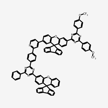 FC(F)(F)Oc1ccc(-c2nc(-c3ccc(OC(F)(F)F)cc3)nc(-c3ccc4c(c3)Oc3ccc(-c5ccnc(-c6ccc(-c7nc(-c8ccccc8)nc(-c8ccc9c(c8)Oc8ccccc8C98c9ccccc9-c9ccccc98)n7)cc6)c5)cc3C43c4ccccc4-c4ccccc43)n2)cc1